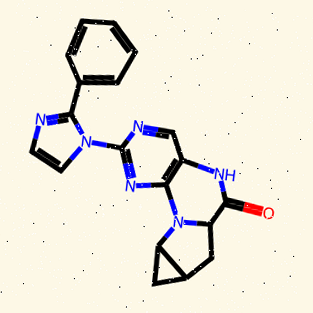 O=C1Nc2cnc(-n3ccnc3-c3ccccc3)nc2N2C1CC1CC12